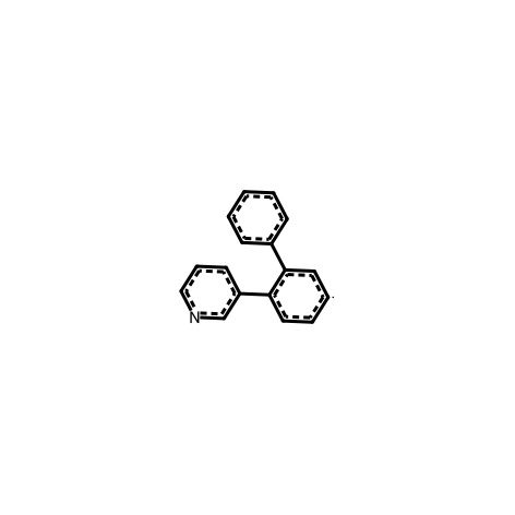 [c]1ccc(-c2cccnc2)c(-c2ccccc2)c1